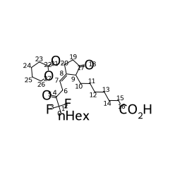 CCCCCCC(F)(F)C(=O)C/C=C1\C(CCCCCCC(=O)O)C(=O)C[C@H]1OC1CCCCO1